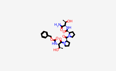 C[C@@H](O)[C@H](NC(=O)[C@H]1CCCN1C(=O)[C@H]1CCCN1C(=O)[C@@H](NC(=O)OCc1ccccc1)[C@@H](C)O)C(N)=O